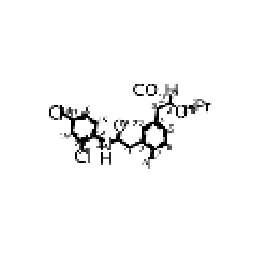 CC(C)OC(Cc1ccc(F)c(CC(=O)Nc2ccc(Cl)cc2Cl)c1)C(=O)O